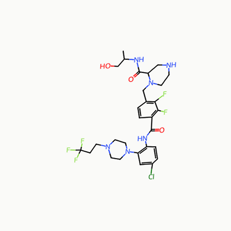 CC(CO)NC(=O)C1CNCCN1Cc1ccc(C(=O)Nc2ccc(Cl)cc2N2CCN(CCC(F)(F)F)CC2)c(F)c1F